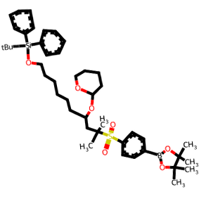 CC1(C)OB(c2ccc(S(=O)(=O)C(C)(C)CC(CCCCCCO[Si](c3ccccc3)(c3ccccc3)C(C)(C)C)OC3CCCCO3)cc2)OC1(C)C